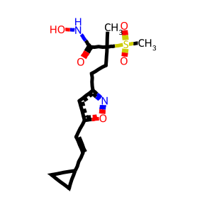 CC(CCc1cc(/C=C/C2CC2)on1)(C(=O)NO)S(C)(=O)=O